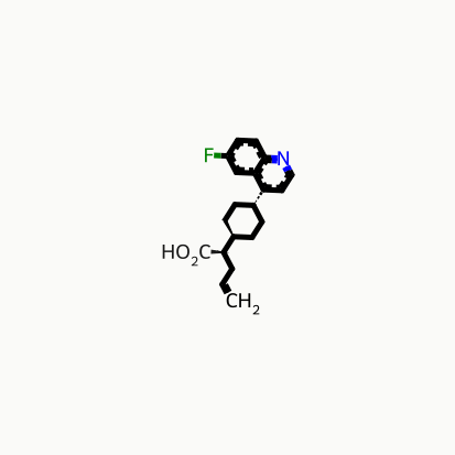 C=CC[C@@H](C(=O)O)[C@H]1CC[C@H](c2ccnc3ccc(F)cc32)CC1